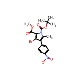 COC(=O)c1c(Br)c(-c2ccc([N+](=O)[O-])cc2)c(C)n1C(=O)OC(C)(C)C